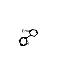 BrC1=CC=CCC1c1ccccn1